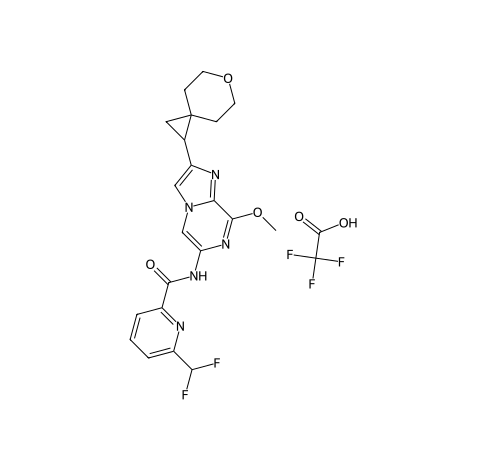 COc1nc(NC(=O)c2cccc(C(F)F)n2)cn2cc(C3CC34CCOCC4)nc12.O=C(O)C(F)(F)F